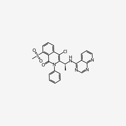 C[C@H](Nc1ncnc2ncccc12)c1c(Cl)c2cccc(S(C)(=O)=O)c2c(=O)n1-c1ccccc1